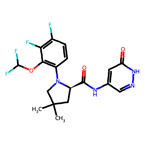 CC1(C)C[C@H](C(=O)Nc2cn[nH]c(=O)c2)N(c2ccc(F)c(F)c2OC(F)F)C1